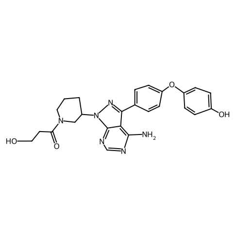 Nc1ncnc2c1c(-c1ccc(Oc3ccc(O)cc3)cc1)nn2C1CCCN(C(=O)CCO)C1